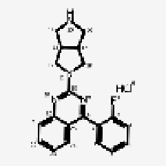 Cl.Fc1ccccc1-c1nc(N2CC3CNCC3C2)nc2ccccc12